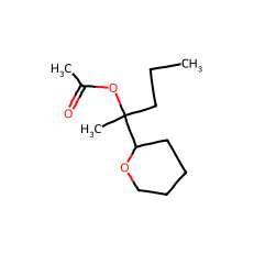 CCCC(C)(OC(C)=O)C1CCCCO1